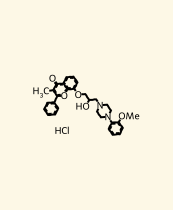 COc1ccccc1N1CCN(CC(O)COc2cccc3c(=O)c(C)c(-c4ccccc4)oc23)CC1.Cl